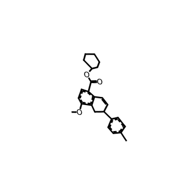 COc1ccc(C(=O)OC2CCCCC2)c2c1CC(c1ccc(C)cc1)C=C2